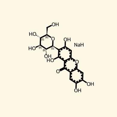 O=c1c2cc(O)c(O)cc2oc2cc(O)c([C@@H]3O[C@H](CO)[C@@H](O)[C@H](O)[C@H]3O)c(O)c12.[NaH]